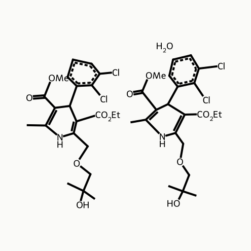 CCOC(=O)C1=C(COCC(C)(C)O)NC(C)=C(C(=O)OC)C1c1cccc(Cl)c1Cl.CCOC(=O)C1=C(COCC(C)(C)O)NC(C)=C(C(=O)OC)C1c1cccc(Cl)c1Cl.O